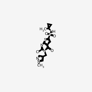 Cn1cc(Cn2c(Cl)nc3sc(S(=O)(=O)NC4(C)CC4)cc3c2=O)cn1